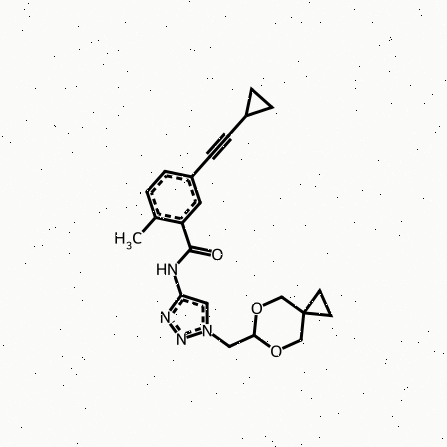 Cc1ccc(C#CC2CC2)cc1C(=O)Nc1cn(CC2OCC3(CC3)CO2)nn1